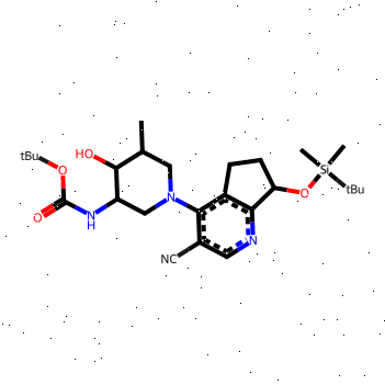 CC1CN(c2c(C#N)cnc3c2CCC3O[Si](C)(C)C(C)(C)C)CC(NC(=O)OC(C)(C)C)C1O